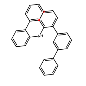 c1ccc(-c2cccc(-c3ccccc3Nc3ccccc3-c3ccccc3)c2)cc1